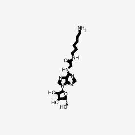 NCCCCCCNC(=O)CNc1ncnc2c1ncn2[C@@H]1O[C@H](CO)C(O)C1O